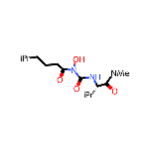 CNC(=O)[C@@H](NC(=O)N(O)C(=O)CCCC(C)C)C(C)C